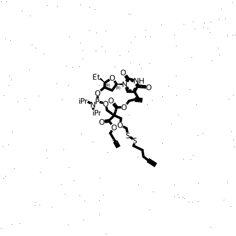 C#CCCCSSCOCC(COP(OC1C[C@H](n2cc(C)c(=O)[nH]c2=O)O[C@@H]1CC)N(C(C)C)C(C)C)(C(=O)OCC#C)C(=O)OCC#C